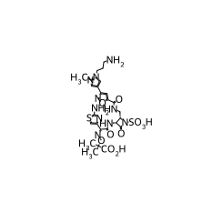 C[n+]1cc(-c2cc(C(=O)NC[C@@H]3[C@H](NC(=O)/C(=N\OC(C)(C)C(=O)O)c4csc(N)n4)C(=O)N3S(=O)(=O)O)on2)cn1CCCN